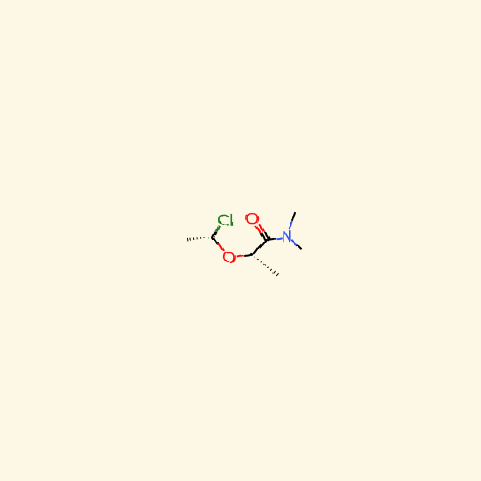 C[C@H](Cl)O[C@@H](C)C(=O)N(C)C